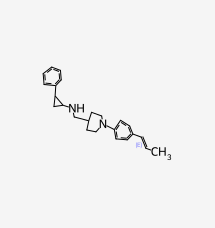 C/C=C/c1ccc(N2CCC(CNC3CC3c3ccccc3)CC2)cc1